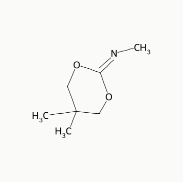 CN=C1OCC(C)(C)CO1